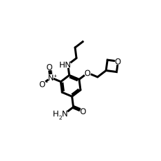 CCCNc1c(OCC2COC2)cc(C(N)=O)cc1[N+](=O)[O-]